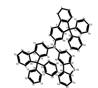 C1=CC2=C(CC1)c1ccc(N(c3ccc4c(c3)C(c3ccccc3)(c3ccccc3)c3ccccc3-4)c3ccc4sc5ccccc5c4c3)cc1C2(c1ccccc1)c1ccccc1